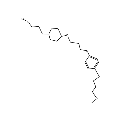 [CH2+][CH-]CCCC1CCC(OCCCOc2ccc(CCCCOC)cc2)CC1